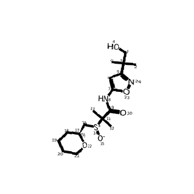 CC(C)(CO)c1cc(NC(=O)C(C)(C)[S+]([O-])C[C@@H]2CCCCO2)on1